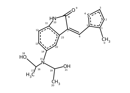 Cc1ccsc1C=C1C(=O)Nc2ccc(N(C(C)O)C(C)O)cc21